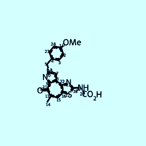 COc1ccc(Cn2cc3c(n2)c(=O)c(C)cc2sc(NC(=O)O)nc23)cc1